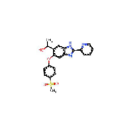 CC(O)c1cc2[nH]c(-c3ccccn3)nc2cc1Oc1ccc(S(C)(=O)=O)cc1